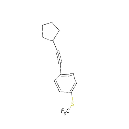 FC(F)(F)Sc1ccc(C#CC2CCCC2)cc1